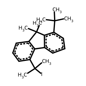 CC(C)(C)c1cccc2c1C(C)(C)c1cccc(C(C)(C)I)c1-2